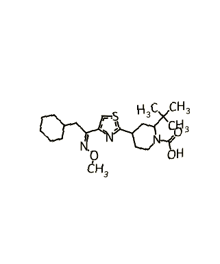 CON=C(CC1CCCCC1)c1csc(C2CCN(C(=O)O)C(C(C)(C)C)C2)n1